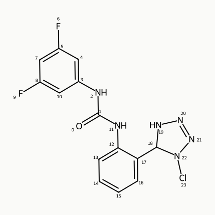 O=C(Nc1cc(F)cc(F)c1)Nc1ccccc1C1NN=NN1Cl